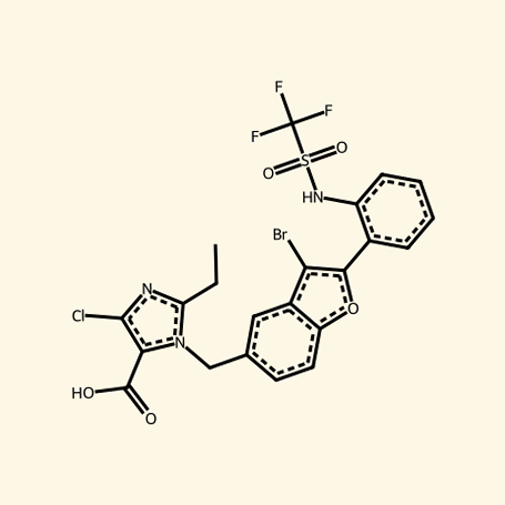 CCc1nc(Cl)c(C(=O)O)n1Cc1ccc2oc(-c3ccccc3NS(=O)(=O)C(F)(F)F)c(Br)c2c1